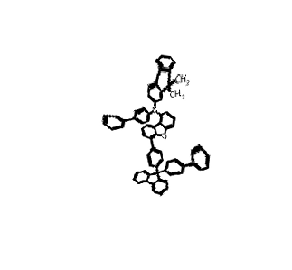 CC1(C)c2ccccc2-c2ccc(N(c3ccc(-c4ccccc4)cc3)c3cccc4oc5c(-c6ccc(C7(c8ccc(-c9ccccc9)cc8)c8ccccc8-c8ccccc87)cc6)cccc5c34)cc21